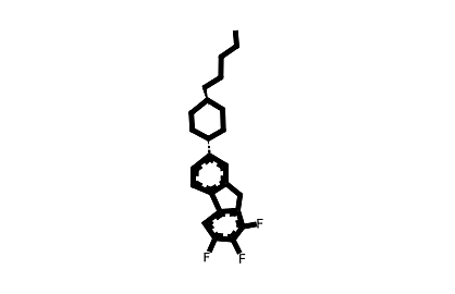 CCCCC[C@H]1CC[C@H](c2ccc3c(c2)Cc2c-3cc(F)c(F)c2F)CC1